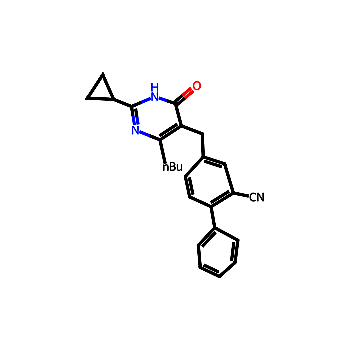 CCCCc1nc(C2CC2)[nH]c(=O)c1Cc1ccc(-c2ccccc2)c(C#N)c1